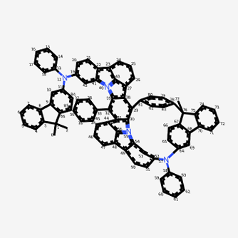 CC1(C)c2ccccc2-c2cc(N(c3ccccc3)c3ccc4c5cccc6c7c8c9c(c(-c%10ccccc%10)c7n(c4c3)c56)c3cccc4c5ccc(cc5n9c43)N(c3ccccc3)c3ccc4c(c3)-c3ccccc3C4(C)c3ccc-8cc3)ccc21